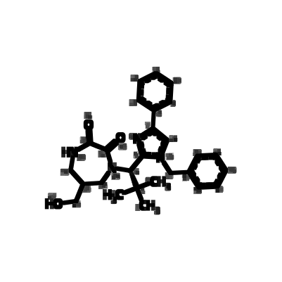 CC(C)(C)[C@H](c1nc(-c2ccccc2)cn1Cc1ccccc1)N1CC(CO)CNC(=O)C1=O